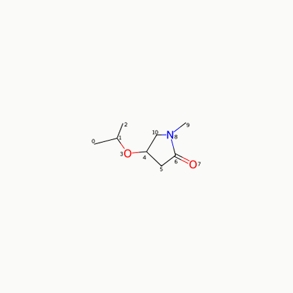 CC(C)OC1CC(=O)N(C)C1